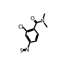 CN(C)C(=O)c1ccc(N=S)cc1Cl